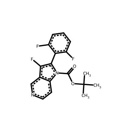 CC(C)(C)OC(=O)n1c(-c2c(F)cccc2F)c(F)c2cnccc21